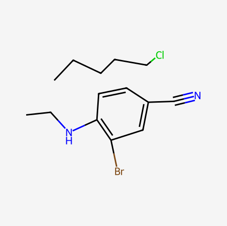 CCCCCCl.CCNc1ccc(C#N)cc1Br